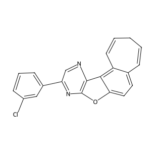 Clc1cccc(-c2cnc3c(n2)oc2ccc4c(c23)C=CCC=C4)c1